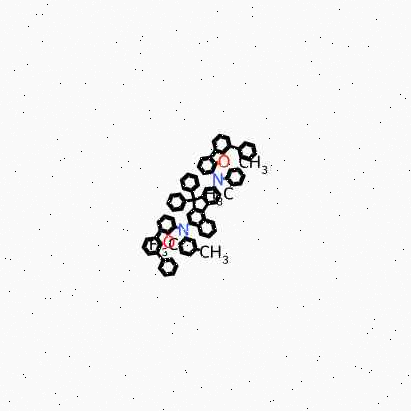 Cc1ccc(C)c(N(c2ccc3c(c2)C(c2ccccc2)(c2ccccc2)c2cc(N(c4cc(C)ccc4C)c4cccc5c4oc4c(-c6ccccc6)cccc45)c4ccccc4c2-3)c2cccc3c2oc2c(-c4ccccc4)cccc23)c1